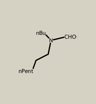 CCCCCCCN([C]=O)CCCC